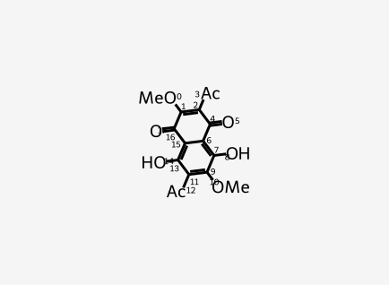 COC1=C(C(C)=O)C(=O)c2c(O)c(OC)c(C(C)=O)c(O)c2C1=O